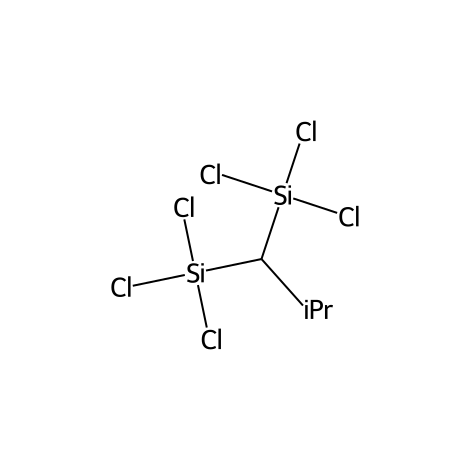 CC(C)C([Si](Cl)(Cl)Cl)[Si](Cl)(Cl)Cl